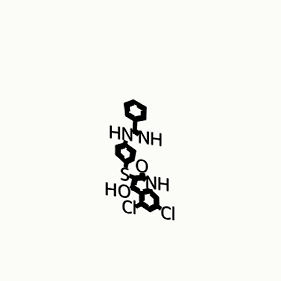 N=C(Nc1ccc(Sc2c(O)c3c(Cl)cc(Cl)cc3[nH]c2=O)cc1)c1ccccc1